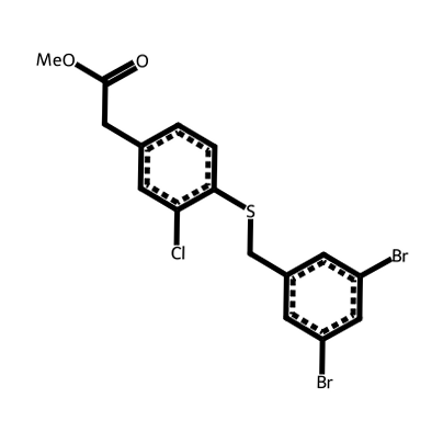 COC(=O)Cc1ccc(SCc2cc(Br)cc(Br)c2)c(Cl)c1